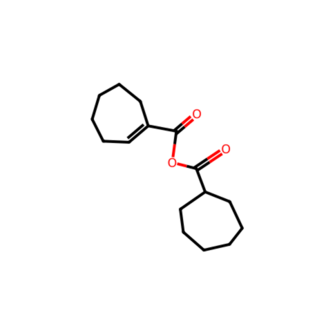 O=C(OC(=O)C1CCCCCC1)C1=CCCCCC1